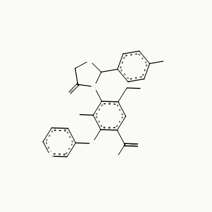 CCc1cc(C(=O)O)c(Sc2cccnc2)c(C)c1N1C(=O)CSC1c1ccc(F)cc1